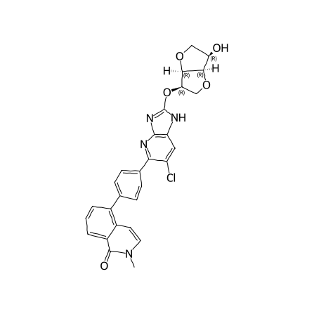 Cn1ccc2c(-c3ccc(-c4nc5nc(O[C@@H]6CO[C@H]7[C@@H]6OC[C@H]7O)[nH]c5cc4Cl)cc3)cccc2c1=O